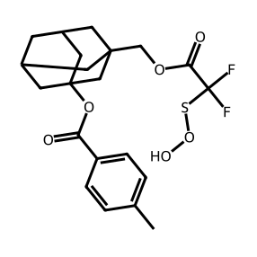 Cc1ccc(C(=O)OC23CC4CC(CC(COC(=O)C(F)(F)SOO)(C4)C2)C3)cc1